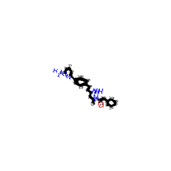 CC(CC(=N)CCc1ccc(-c2cccc(N)n2)cc1)NC(=O)CC1CCCCC1